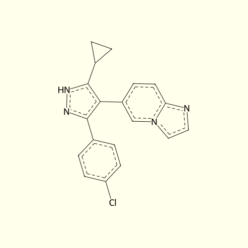 Clc1ccc(-c2n[nH]c(C3CC3)c2-c2ccc3nccn3c2)cc1